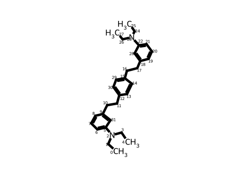 CCN(CC)c1cccc(CCc2ccc(CCc3cccc(N(CC)CC)c3)cc2)c1